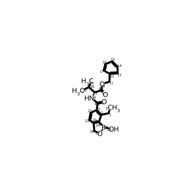 CCc1c(C(=O)N[C@H](C(=O)OCc2ccccc2)C(C)C)ccc2c1B(O)OC2